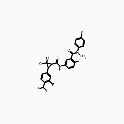 CN(C(=O)c1cc(NC(=O)C2C(c3ccc(C(F)F)c(F)c3)C2(Cl)Cl)ccc1Cl)c1ccc(F)cc1